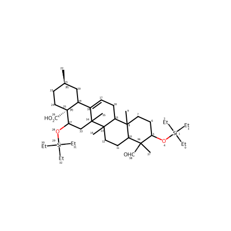 CC[Si](CC)(CC)OC1CCC2(C)C(CCC3(C)C2CC=C2C4C[C@H](C)CC[C@]4(C(=O)O)C(O[Si](CC)(CC)CC)CC23C)C1(C)C=O